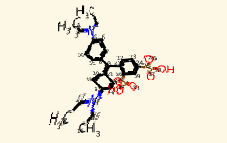 CCN(CC)c1ccc(C(=C2C=CC(=[N+](CC)CC)C=C2)c2ccc(S(=O)(=O)O)cc2S(=O)(=O)O)cc1